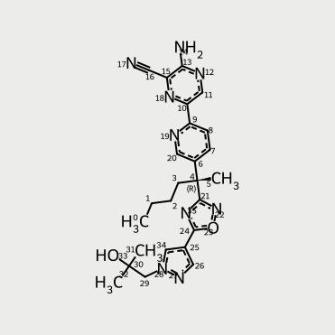 CCCC[C@](C)(c1ccc(-c2cnc(N)c(C#N)n2)nc1)c1noc(-c2cnn(CC(C)(C)O)c2)n1